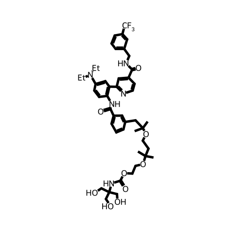 CCN(CC)c1ccc(NC(=O)c2cccc(CC(C)(C)OCCC(C)(C)OCCOC(=O)NC(CO)(CO)CO)c2)c(-c2cc(C(=O)NCc3cccc(C(F)(F)F)c3)ccn2)c1